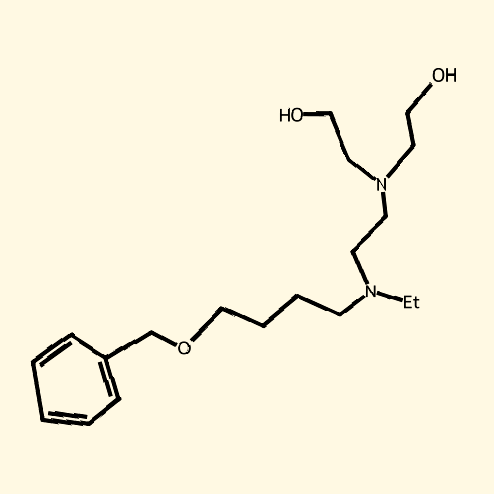 CCN(CCCCOCc1ccccc1)CCN(CCO)CCO